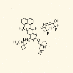 Cc1cccc2cccc(-c3ncc4c(NCC5(N(C)C)CCC5)nc(OC[C@@]56CCCN5C[C@H](F)C6)nc4c3F)c12.O=C(O)C(F)(F)F.O=C(O)C(F)(F)F